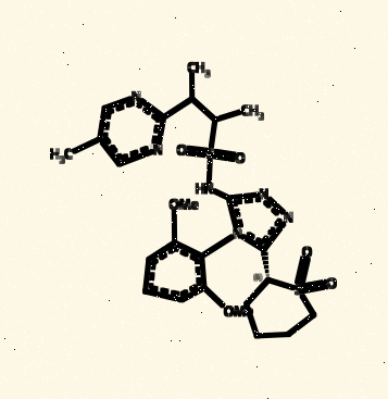 COc1cccc(OC)c1-n1c(NS(=O)(=O)C(C)C(C)c2ncc(C)cn2)nnc1[C@H]1CCCCS1(=O)=O